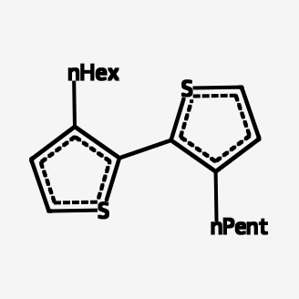 CCCCCCc1ccsc1-c1sccc1CCCCC